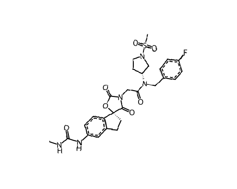 CNC(=O)Nc1ccc2c(c1)CC[C@@]21OC(=O)N(CC(=O)N(Cc2ccc(F)cc2)[C@@H]2CCN(S(C)(=O)=O)C2)C1=O